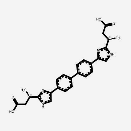 C[C@H](CC(=O)O)c1nc(-c2ccc(-c3ccc(-c4c[nH]c([C@H](C)CC(=O)O)n4)cc3)cc2)c[nH]1